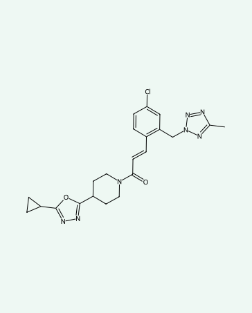 Cc1nnn(Cc2cc(Cl)ccc2C=CC(=O)N2CCC(c3nnc(C4CC4)o3)CC2)n1